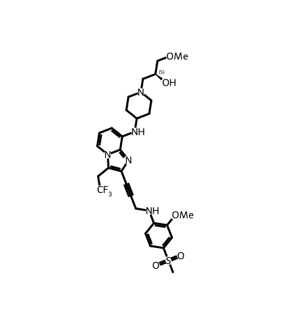 COC[C@@H](O)CN1CCC(Nc2cccn3c(CC(F)(F)F)c(C#CCNc4ccc(S(C)(=O)=O)cc4OC)nc23)CC1